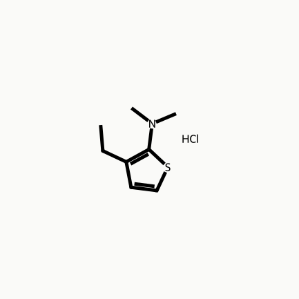 CCc1ccsc1N(C)C.Cl